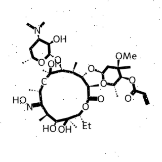 C=CC(=O)O[C@H]1[C@H](C)O[C@@H](O[C@H]2[C@H](C)[C@@H](O[C@@H]3O[C@H](C)C[C@H](N(C)C)[C@H]3O)[C@](C)(O)C[C@@H](C)/C(=N\O)[C@H](C)[C@@H](O)[C@](C)(O)[C@@H](CC)OC(=O)[C@@H]2C)C[C@@]1(C)OC